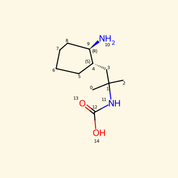 CC(C)(C[C@@H]1CCCC[C@H]1N)NC(=O)O